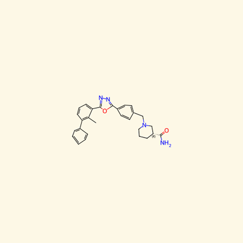 Cc1c(-c2ccccc2)cccc1-c1nnc(-c2ccc(CN3CCC[C@@H](C(N)=O)C3)cc2)o1